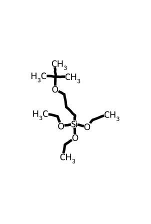 CCO[Si](CCCOC(C)(C)C)(OCC)OCC